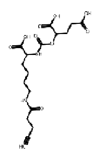 C#CCCC(=O)NCCCC[C@H](NC(=O)OC(CCC(=O)O)C(=O)O)C(=O)O